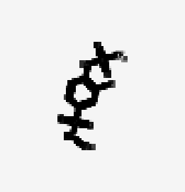 CC(C)(C)NS(=O)(=O)c1ccc(NS(=O)(=O)C(F)(F)F)c(Cl)c1